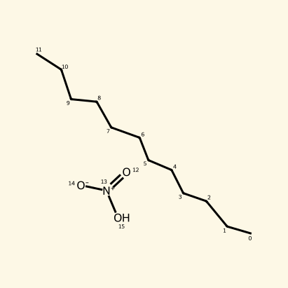 CCCCCCCCCCCC.O=[N+]([O-])O